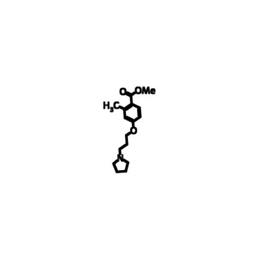 COC(=O)c1ccc(OCCCN2CCCC2)cc1C